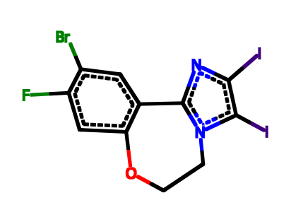 Fc1cc2c(cc1Br)-c1nc(I)c(I)n1CCO2